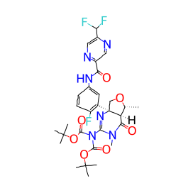 C[C@H]1OC[C@]2(c3cc(NC(=O)c4cnc(C(F)F)cn4)ccc3F)N=C(N(C(=O)OC(C)(C)C)C(=O)OC(C)(C)C)N(C)C(=O)[C@H]12